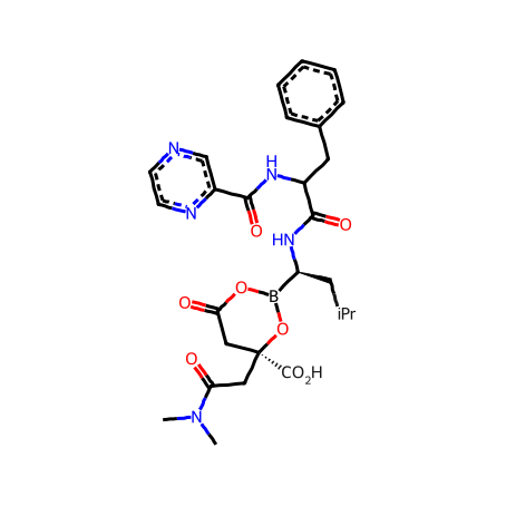 CC(C)C[C@H](NC(=O)C(Cc1ccccc1)NC(=O)c1cnccn1)B1OC(=O)C[C@@](CC(=O)N(C)C)(C(=O)O)O1